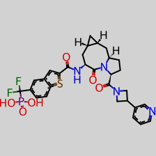 O=C(N[C@H]1C[C@@H]2C[C@@H]2C[C@H]2CC[C@@H](C(=O)N3CC(c4cccnc4)C3)N2C1=O)c1cc2cc(C(F)(F)P(=O)(O)O)ccc2s1